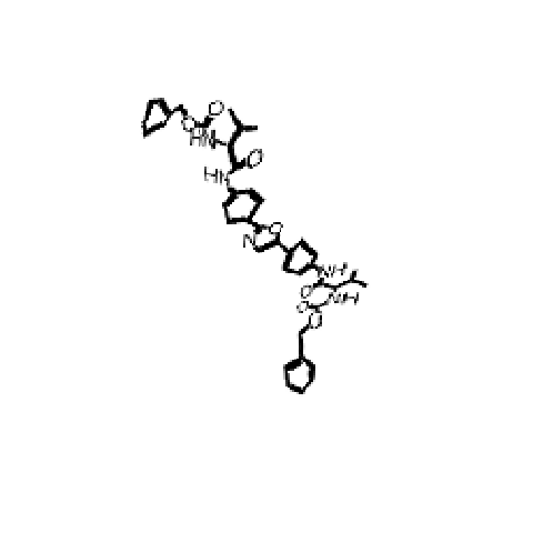 CC(C)[C@H](NC(=O)OCc1ccccc1)C(=O)Nc1ccc(-c2cnc(-c3ccc(NC(=O)[C@@H](NC(=O)OCc4ccccc4)C(C)C)cc3)o2)cc1